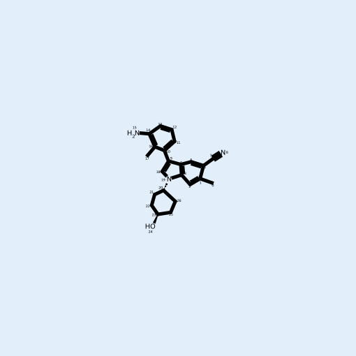 Cc1cc2c(cc1C#N)c(-c1cccc(N)c1C)cn2[C@H]1CC[C@H](O)CC1